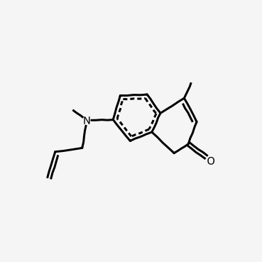 C=CCN(C)c1ccc2c(c1)CC(=O)C=C2C